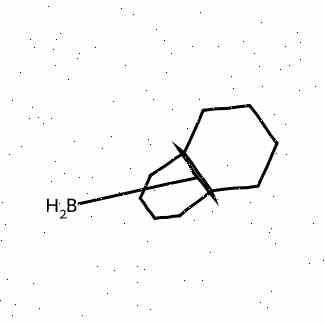 BC1CCC23CCCCC2(CCCC3)C1